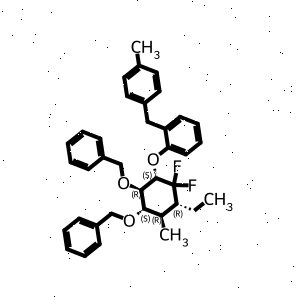 CC[C@@H]1[C@@H](C)[C@H](OCc2ccccc2)[C@@H](OCc2ccccc2)[C@H](Oc2ccccc2Cc2ccc(C)cc2)C1(F)F